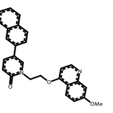 COc1ccc2c(OCCn3cc(-c4ccc5ccccc5c4)ccc3=O)ccnc2c1